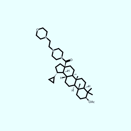 CC(=O)O[C@H]1CC[C@]2(C)[C@H]3CC[C@@H]4[C@H]5[C@H](C6CC6)CC[C@]5(C(=O)N5CCN(CCN6CCOCC6)CC5)CC[C@@]4(C)[C@]3(C)CC[C@H]2C1(C)C